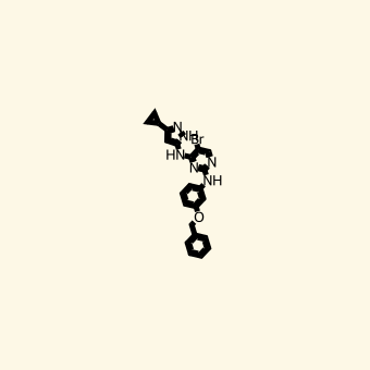 Brc1cnc(Nc2cccc(OCc3ccccc3)c2)nc1Nc1cc(C2CC2)n[nH]1